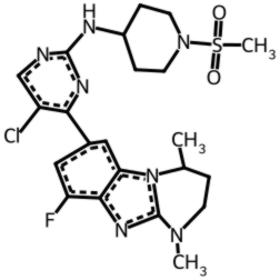 CC1CCN(C)c2nc3c(F)cc(-c4nc(NC5CCN(S(C)(=O)=O)CC5)ncc4Cl)cc3n21